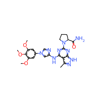 COc1cc(-n2cnc(Nc3nc(N4CCCC4C(N)=O)nc4[nH]nc(C)c34)c2)cc(OC)c1OC